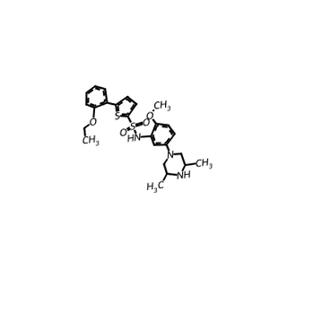 CCOc1ccccc1-c1ccc(S(=O)(=O)Nc2cc(N3CC(C)NC(C)C3)ccc2OC)s1